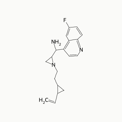 C=CC1CC1CCN1CC1C(N)c1ccnc2ccc(F)cc12